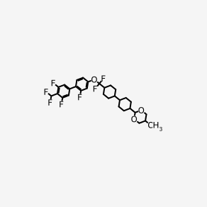 CC1COC(C2CCC(C3CCC(C(F)(F)Oc4ccc(-c5cc(F)c(C(F)F)c(F)c5)c(F)c4)CC3)CC2)OC1